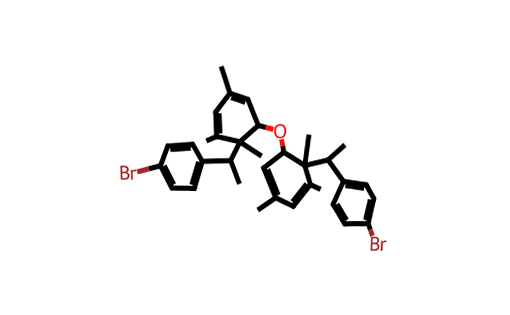 CC1=CC(OC2C=C(C)C=C(C)C2(C)C(C)c2ccc(Br)cc2)C(C)(C(C)c2ccc(Br)cc2)C(C)=C1